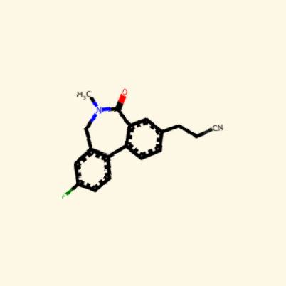 CN1Cc2cc(F)ccc2-c2ccc(CCC#N)cc2C1=O